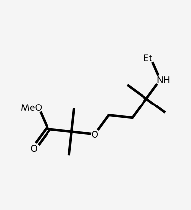 CCNC(C)(C)CCOC(C)(C)C(=O)OC